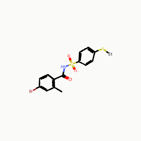 CCSc1ccc(S(=O)(=O)NC(=O)c2ccc(Br)cc2C)cc1